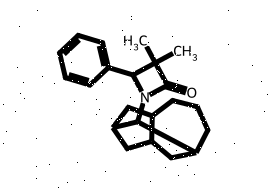 CC1(C)C(=O)N(C2C3CCCC4CC2CC4C3)C1c1ccccc1